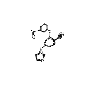 CC(=O)c1cccc(Oc2cc(Cn3ccnc3)ccc2C#N)c1